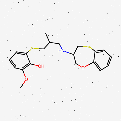 COc1cccc(SCC(C)CNC2COc3ccccc3SC2)c1O